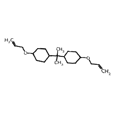 C=CCOC1CCC(C(C)(C)C2CCC(OCC=C)CC2)CC1